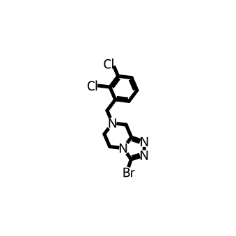 Clc1cccc(CN2CCn3c(Br)nnc3C2)c1Cl